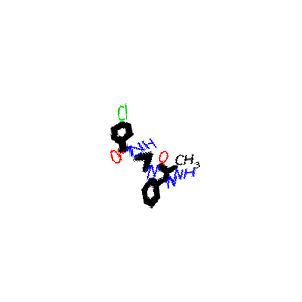 Cc1[nH]nc2c1c(=O)n(CCCNC(=O)c1ccc(Cl)cc1)c1ccccc21